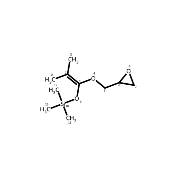 CC(C)=C(OCC1CO1)O[Si](C)(C)C